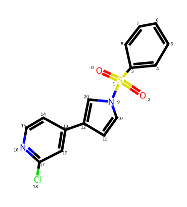 O=S(=O)(c1ccccc1)n1ccc(-c2ccnc(Cl)c2)c1